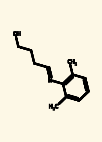 Cc1cccc(C)c1N=CCCCO